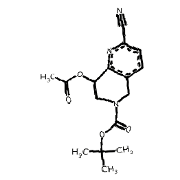 CC(=O)OC1CN(C(=O)OC(C)(C)C)Cc2ccc(C#N)nc21